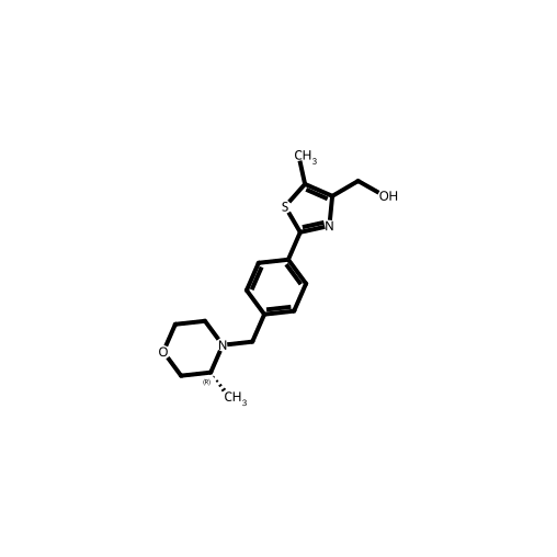 Cc1sc(-c2ccc(CN3CCOC[C@H]3C)cc2)nc1CO